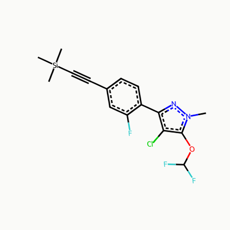 Cn1nc(-c2ccc(C#C[Si](C)(C)C)cc2F)c(Cl)c1OC(F)F